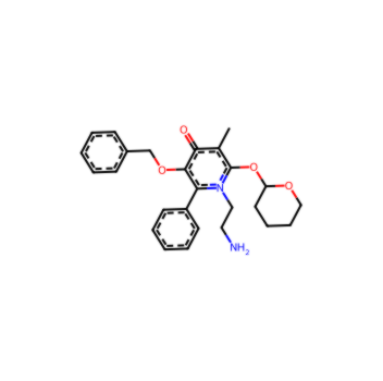 Cc1c(OC2CCCCO2)n(CCN)c(-c2ccccc2)c(OCc2ccccc2)c1=O